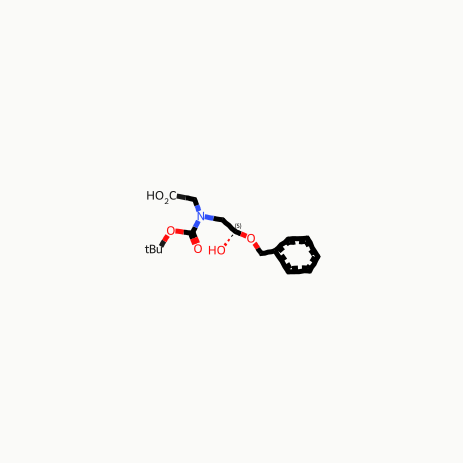 CC(C)(C)OC(=O)N(CC(=O)O)C[C@@H](O)OCc1ccccc1